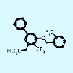 O=C(O)Cc1cc(-c2ccccc2)cc(OCc2ccccc2C(F)(F)F)c1C(F)(F)F